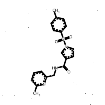 Cc1ccc(S(=O)(=O)n2ccc(C(=O)NCc3cccc(C)n3)c2)cc1